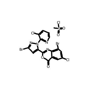 CS(=O)(=O)Cl.O=c1oc(-c2cc(Br)nn2-c2ncccc2Cl)nc2c(Br)cc(Cl)cc12